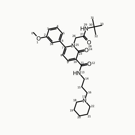 COc1cccc(-c2ccc(C(=O)NCCCN3CCCCC3)c(=O)n2CC(=O)NC(C)(C)C)c1